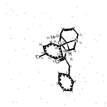 O=C(Cc1ccccc1)N1CN2CC=C[C@H](O1)[C@H]2c1ccc(Cl)cc1